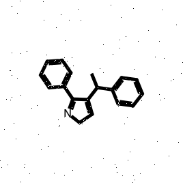 CC(C1=CCN=C1c1ccccc1)c1ccccc1